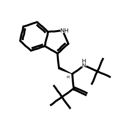 C=C([C@@H](Cc1c[nH]c2ccccc12)NC(C)(C)C)C(C)(C)C